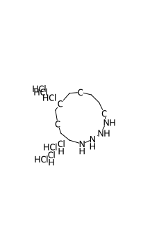 C1CCCCCNNNNCCCC1.Cl.Cl.Cl.Cl.Cl.Cl.Cl